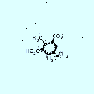 C=C.Cc1c(C(=O)O)cccc1C(=O)O